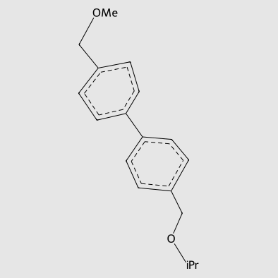 COCc1ccc(-c2ccc(COC(C)C)cc2)cc1